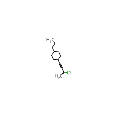 C=C(Cl)C#CC1CCC(CCC)CC1